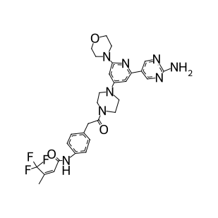 C/C(=C/C(=O)Nc1ccc(CC(=O)N2CCN(c3cc(-c4cnc(N)nc4)nc(N4CCOCC4)c3)CC2)cc1)C(F)(F)F